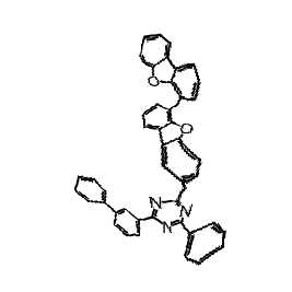 c1ccc(-c2cccc(-c3nc(-c4ccccc4)nc(-c4ccc5oc6c(-c7cccc8c7oc7ccccc78)cccc6c5c4)n3)c2)cc1